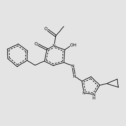 CC(=O)n1c(O)c(N=Nc2cc(C3CC3)[nH]n2)cc(Cc2ccccc2)c1=O